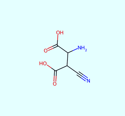 N#CC(C(=O)O)C(N)C(=O)O